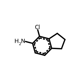 Nc1ccc2c(c1Cl)CCC2